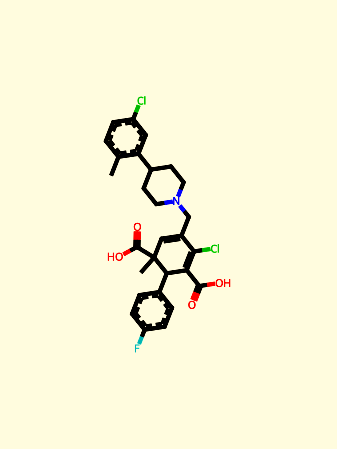 Cc1ccc(Cl)cc1C1CCN(CC2=CC(C)(C(=O)O)C(c3ccc(F)cc3)C(C(=O)O)=C2Cl)CC1